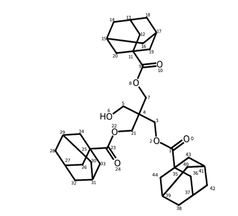 O=C(OCC(CO)(COC(=O)C12CC3CC(CC(C3)C1)C2)COC(=O)C12CC3CC(CC(C3)C1)C2)C12CC3CC(CC(C3)C1)C2